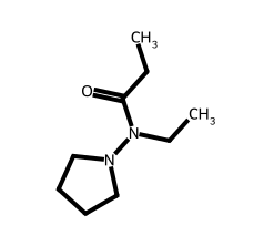 CCC(=O)N(CC)N1CCCC1